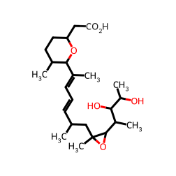 C/C(=C\C=C\C(C)CC1(C)OC1C(C)C(O)C(C)O)C1OC(CC(=O)O)CCC1C